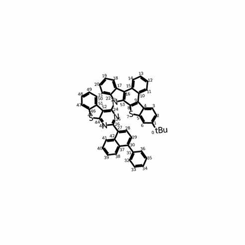 CC(C)(C)c1ccc2c(c1)sc1c2c2ccccc2c2c3ccccc3n(-c3nc(-c4ccc(-c5ccccc5)c5ccccc45)nc4sc5ccccc5c34)c12